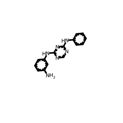 Nc1cccc(Nc2ncnc(Nc3ccccc3)n2)c1